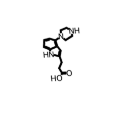 O=C(O)CCc1cc2c(N3CCNCC3)cccc2[nH]1